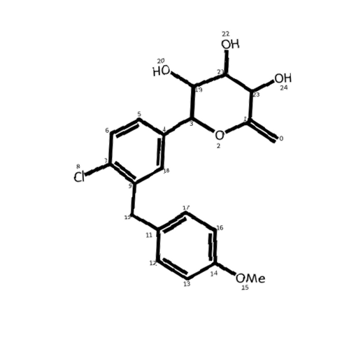 C=C1OC(c2ccc(Cl)c(Cc3ccc(OC)cc3)c2)C(O)C(O)C1O